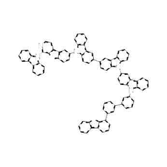 c1cc(-c2cccc(-n3c4ccccc4c4cc(-n5c6ccccc6c6cc(-c7ccc8c(c7)c7ccccc7n8-c7ccc8sc9c(-n%10c%11ccccc%11c%11ccccc%11%10)nccc9c8c7)ccc65)ccc43)c2)cc(-c2cccc3c2sc2ccccc23)c1